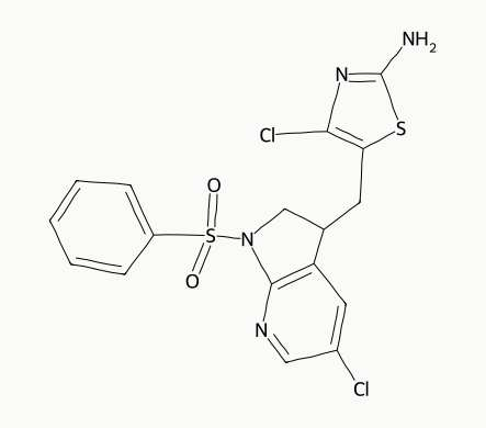 Nc1nc(Cl)c(CC2CN(S(=O)(=O)c3ccccc3)c3ncc(Cl)cc32)s1